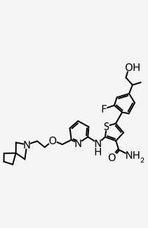 CC(CO)c1ccc(-c2cc(C(N)=O)c(Nc3cccc(COCCN4CC5(CCC5)C4)n3)s2)c(F)c1